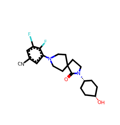 [C-]#[N+]c1cc(F)c(F)c(N2CCC3(CC2)CCN([C@H]2CC[C@@H](O)CC2)C3=O)c1